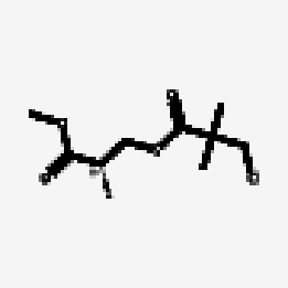 COC(=O)[C@@H](C)CSC(=O)C(C)(C)CCl